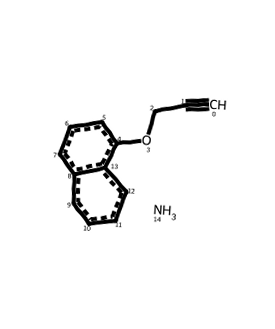 C#CCOc1cccc2ccccc12.N